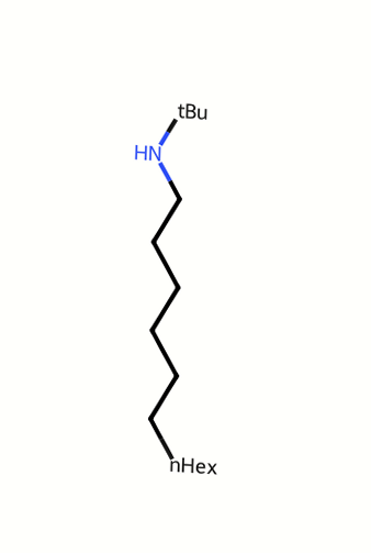 CCCCCCCCCCCCNC(C)(C)C